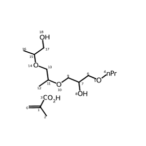 C=C(C)C(=O)O.CCCOCC(O)COC(C)COC(C)CO